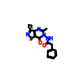 CCc1nsc2c(=O)n(NC(=O)Cc3ccccc3)c(C)nc12